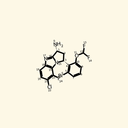 N[C@@H]1C[C@H](c2c(Br)cccc2OC(F)F)n2c1nc1ccc(Cl)c(F)c12